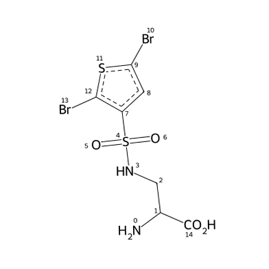 NC(CNS(=O)(=O)c1cc(Br)sc1Br)C(=O)O